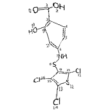 O=C(O)c1ccc(NSc2c(Cl)sc(Cl)c2Cl)cc1O